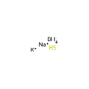 [BH4-].[K+].[Na+].[SH-]